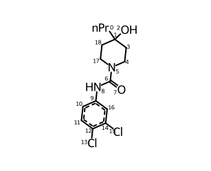 CCCC1(O)CCN(C(=O)Nc2ccc(Cl)c(Cl)c2)CC1